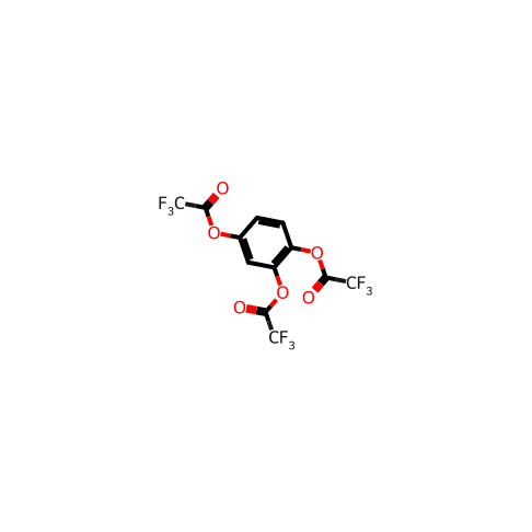 O=C(Oc1ccc(OC(=O)C(F)(F)F)c(OC(=O)C(F)(F)F)c1)C(F)(F)F